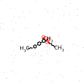 CCCCCCCOC(=O)[C@@]1(C)CCC(C2CCC([C@H]3CC[C@H](CCCC)CC3)CC2)CC1=O